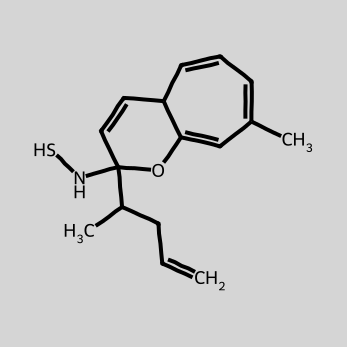 C=CCC(C)C1(NS)C=CC2C=CC=C(C)C=C2O1